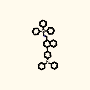 C(=C\[Si](c1ccccc1)(c1ccccc1)c1ccccc1)/c1ccc(-c2ccc(N(c3ccccc3)c3ccccc3)cc2)c2ccccc12